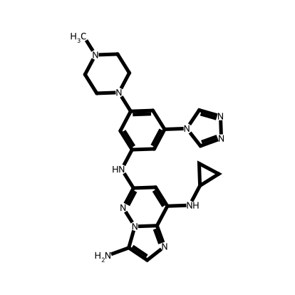 CN1CCN(c2cc(Nc3cc(NC4CC4)c4ncc(N)n4n3)cc(-n3cnnc3)c2)CC1